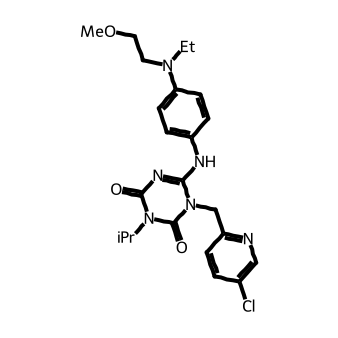 CCN(CCOC)c1ccc(Nc2nc(=O)n(C(C)C)c(=O)n2Cc2ccc(Cl)cn2)cc1